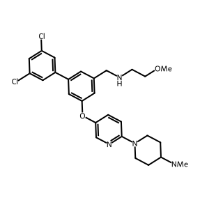 CNC1CCN(c2ccc(Oc3cc(CNCCOC)cc(-c4cc(Cl)cc(Cl)c4)c3)cn2)CC1